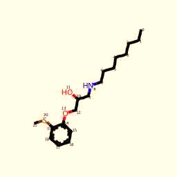 CCCCCCCCNCC(O)COc1ccccc1SC